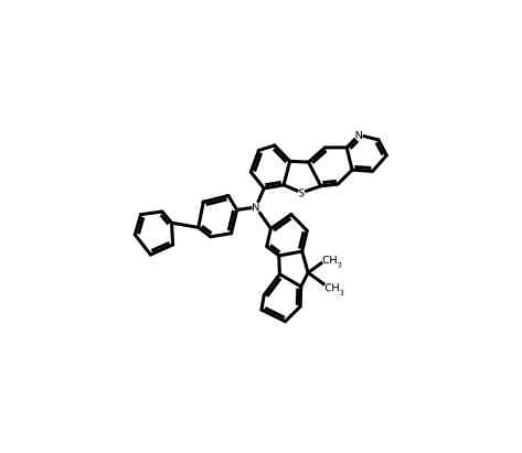 CC1(C)c2ccccc2-c2cc(N(c3ccc(-c4ccccc4)cc3)c3cccc4c3sc3cc5cccnc5cc34)ccc21